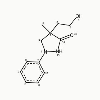 CC1(CCO)CN(c2ccccc2)NC1=O